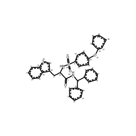 O=C(NC(c1ccccc1)c1ccccc1)C(Cc1csc2ccccc12)NS(=O)(=O)c1ccc(Oc2ccccc2)cc1